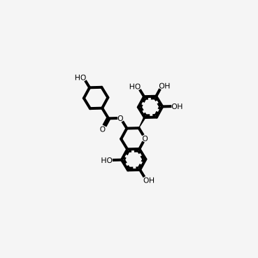 O=C(OC1Cc2c(O)cc(O)cc2O[C@@H]1c1cc(O)c(O)c(O)c1)C1CCC(O)CC1